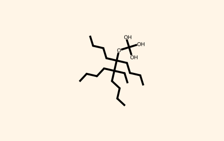 CCCCC(CC)(CCCC)C(CCCC)(CCCC)OC(O)(O)O